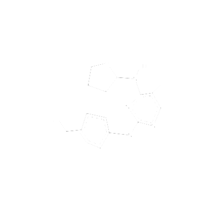 CN(c1nc(Nc2ccc(CC(=O)O)cc2)ncc1Cl)C1CCCO1